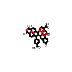 O=C1C=C(CC(C2=CC(=O)CC=C2C(=O)O)C(C(c2ccc(C(=O)O)cc2)c2ccc(C(=O)O)cc2)C(c2ccc(C(=O)O)cc2)c2ccc(C(=O)O)cc2)C(C(=O)O)=CC1